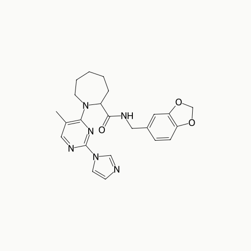 Cc1cnc(-n2ccnc2)nc1N1CCCCCC1C(=O)NCc1ccc2c(c1)OCO2